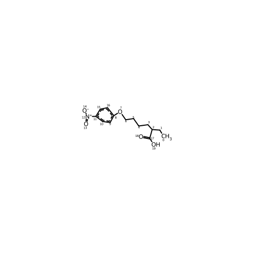 CCC(CCCCOc1ccc([N+](=O)[O-])cc1)C(=O)O